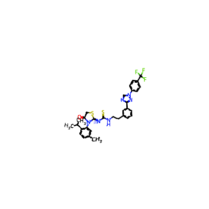 Cc1ccc(C(C)C)c(N2C(=O)CS/C2=N\C(=S)NCCc2cccc(-c3ncn(-c4ccc(C(F)(F)F)cc4)n3)c2)c1